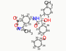 Cc1cccc(CC(O)(C(=O)Nc2ccc3c(=O)onc(C)c3c2)c2ccc(Oc3ccccc3)cc2)c1